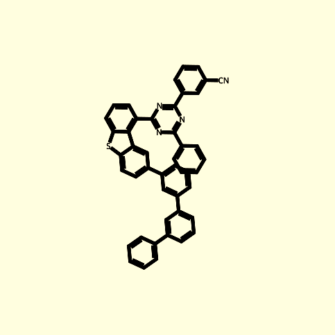 N#Cc1cccc(-c2nc(-c3ccccc3)nc(-c3cccc4sc5ccc(-c6cccc(-c7cccc(-c8ccccc8)c7)c6)cc5c34)n2)c1